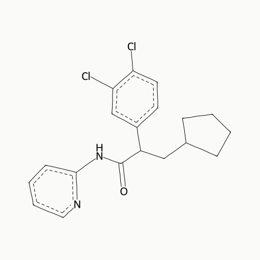 O=C(Nc1ccccn1)C(CC1CCCC1)c1ccc(Cl)c(Cl)c1